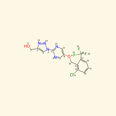 OCc1cn(-c2ncc(OCc3c(Cl)cccc3C(F)(F)F)cn2)nn1